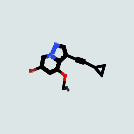 COc1cc(Br)cn2ncc(C#CC3CC3)c12